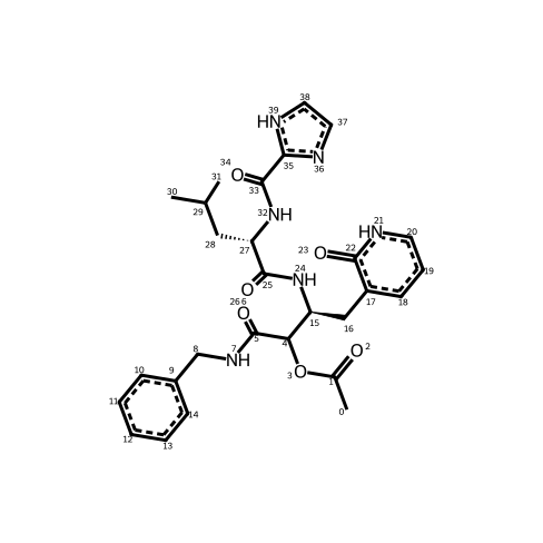 CC(=O)OC(C(=O)NCc1ccccc1)[C@H](Cc1ccc[nH]c1=O)NC(=O)[C@H](CC(C)C)NC(=O)c1ncc[nH]1